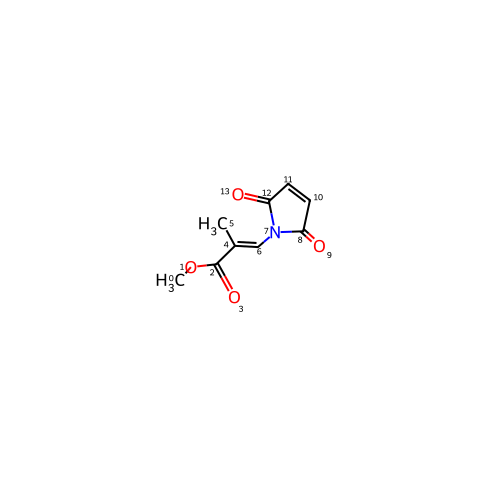 COC(=O)C(C)=CN1C(=O)C=CC1=O